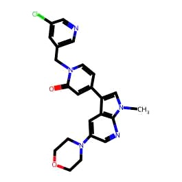 Cn1cc(-c2ccn(Cc3cncc(Cl)c3)c(=O)c2)c2cc(N3CCOCC3)cnc21